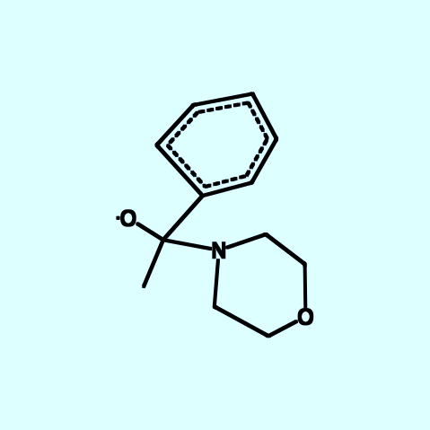 CC([O])(c1ccccc1)N1CCOCC1